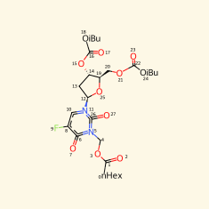 CCCCCCC(=O)OCn1c(=O)c(F)cn([C@H]2C[C@H](OC(=O)OCC(C)C)[C@@H](COC(=O)OCC(C)C)O2)c1=O